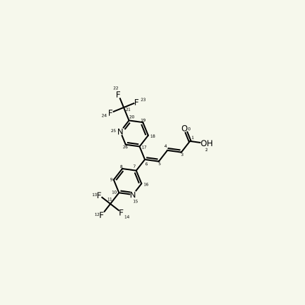 O=C(O)C=CC=C(c1ccc(C(F)(F)F)nc1)c1ccc(C(F)(F)F)nc1